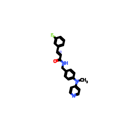 CN(c1ccncc1)c1ccc(CNC(=O)/C=C/c2cccc(F)c2)cc1